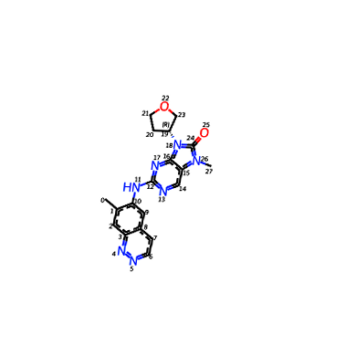 Cc1cc2nnccc2cc1Nc1ncc2c(n1)n([C@@H]1CCOC1)c(=O)n2C